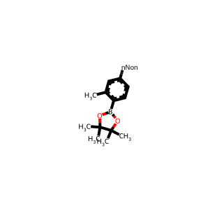 CCCCCCCCCc1ccc(B2OC(C)(C)C(C)(C)O2)c(C)c1